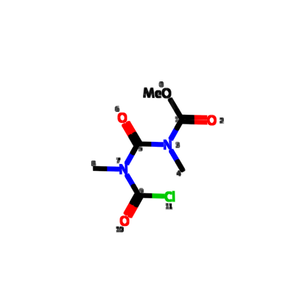 COC(=O)N(C)C(=O)N(C)C(=O)Cl